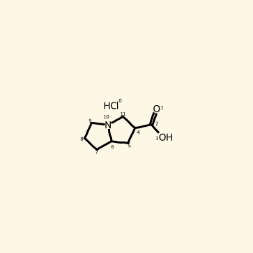 Cl.O=C(O)C1CC2CCCN2C1